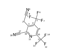 N#CCc1c(C(F)(F)F)cc(C(F)(F)F)nc1C#N